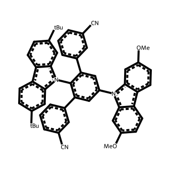 COc1ccc2c3ccc(OC)cc3n(-c3cc(-c4cccc(C#N)c4)c(-n4c5cc(C(C)(C)C)ccc5c5ccc(C(C)(C)C)cc54)c(-c4cccc(C#N)c4)c3)c2c1